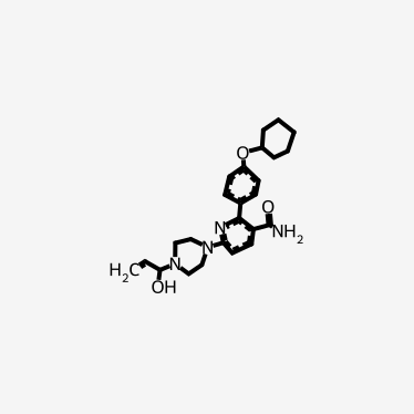 C=CC(O)N1CCN(c2ccc(C(N)=O)c(-c3ccc(OC4CCCCC4)cc3)n2)CC1